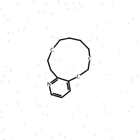 c1cnc2c(c1)CCCCCCCCCC2